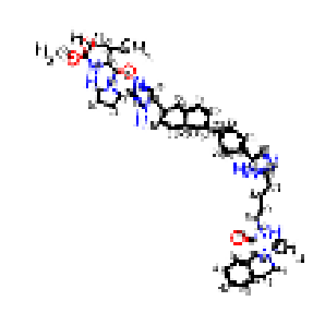 COC(=O)N[C@H](C(=O)N1CCC[C@H]1c1ncc(-c2ccc3cc(-c4ccc(-c5cnc(CCCCNC(=O)[C@H]6c7ccccc7CCN6C)[nH]5)cc4)ccc3c2)[nH]1)C(C)C